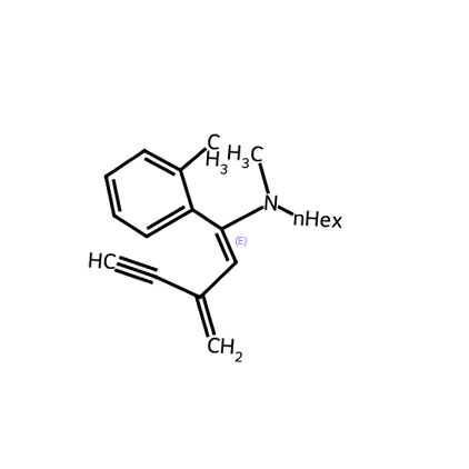 C#CC(=C)/C=C(\c1ccccc1C)N(C)CCCCCC